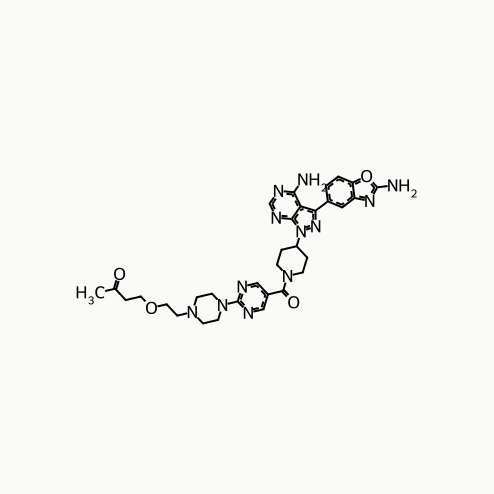 CC(=O)CCOCCN1CCN(c2ncc(C(=O)N3CCC(n4nc(-c5ccc6oc(N)nc6c5)c5c(N)ncnc54)CC3)cn2)CC1